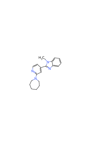 Cn1c(-c2ccnc(N3CCCCCC3)c2)nc2ccccc21